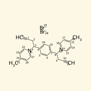 C#CCC(c1ccc(C(CC#C)[n+]2ccc(C)cc2)cc1)[n+]1ccc(C)cc1.[Br-].[Br-]